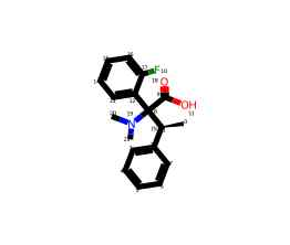 C[C@@H](c1ccccc1)C(C(=O)O)(c1ccccc1F)N(C)C